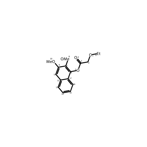 CCOCC(=O)Oc1c(OC)c(OC)cc2ccccc12